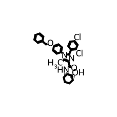 Cc1c(C(=O)N[C@H]2CCCC[C@@H]2O)nc(-c2ccc(Cl)cc2Cl)n1-c1ccc(OCc2ccccc2)cc1